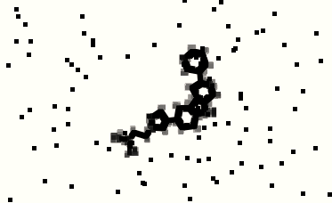 CCN(CC)CCn1cc(-c2ccc3[nH]c4cnc(-c5cccnc5)cc4c3c2)cn1